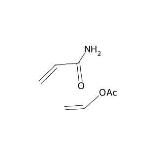 C=CC(N)=O.C=COC(C)=O